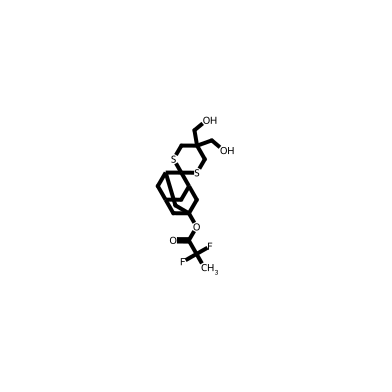 CC(F)(F)C(=O)OC12CC3CC(C1)C1(SCC(CO)(CO)CS1)C(C3)C2